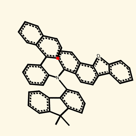 CC1(C)c2ccccc2-c2c(N(c3ccccc3-c3cccc4ccccc34)c3cccc4c3ccc3c5ccccc5oc43)cccc21